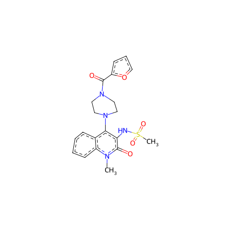 Cn1c(=O)c(NS(C)(=O)=O)c(N2CCN(C(=O)c3ccco3)CC2)c2ccccc21